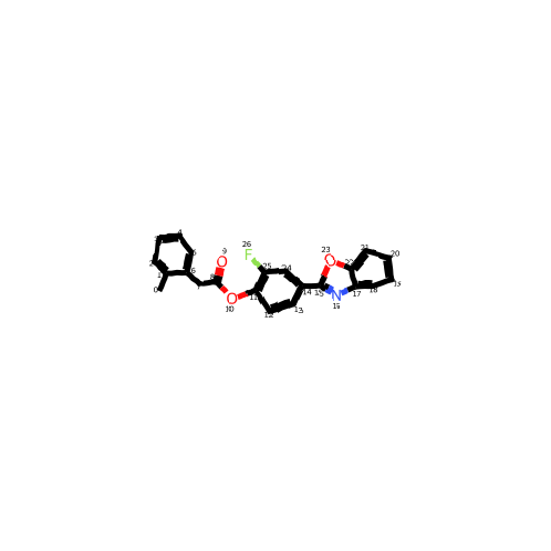 Cc1ccccc1CC(=O)Oc1ccc(-c2nc3ccccc3o2)cc1F